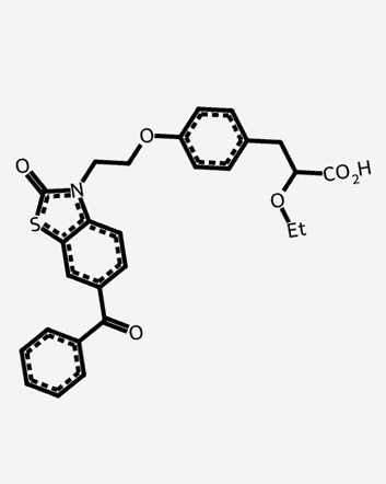 CCOC(Cc1ccc(OCCn2c(=O)sc3cc(C(=O)c4ccccc4)ccc32)cc1)C(=O)O